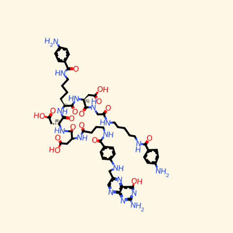 Nc1ccc(C(=O)NCCCCCNC(=O)CNC(=O)[C@H](CC(=O)O)NC(=O)[C@H](CCCCNC(=O)c2ccc(N)cc2)NC(=O)[C@@H](CC(=O)O)NC(=O)C(CC(=O)O)NC(=O)CCCNC(=O)c2ccc(NCc3cnc4nc(N)nc(O)c4n3)cc2)cc1